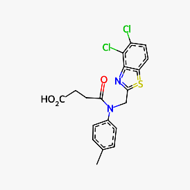 Cc1ccc(N(Cc2nc3c(Cl)c(Cl)ccc3s2)C(=O)CCC(=O)O)cc1